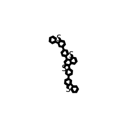 C1=C(c2ccc3c(c2)Sc2cccc4c2c-3cc2sc3cc(-c5ccc6sc7ccccc7c6c5)ccc3c24)CC2C(=C1)Sc1ccccc12